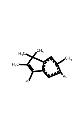 CC(=O)c1cc2c(cc1C)C(C)(C)C(C)=C2C(C)C